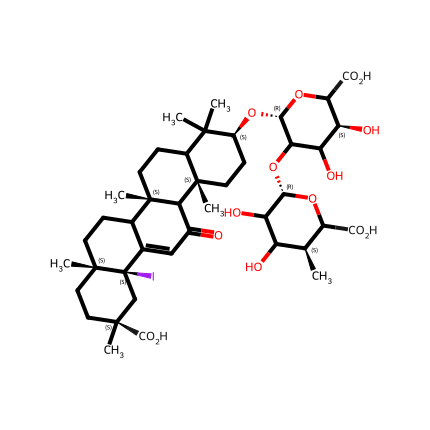 C[C@@H]1C(C(=O)O)O[C@@H](OC2C(O)[C@H](O)C(C(=O)O)O[C@H]2O[C@H]2CC[C@@]3(C)C(CC[C@@]4(C)C5CC[C@@]6(C)CC[C@](C)(C(=O)O)C[C@@]6(I)C5=CC(=O)C43)C2(C)C)C(O)C1O